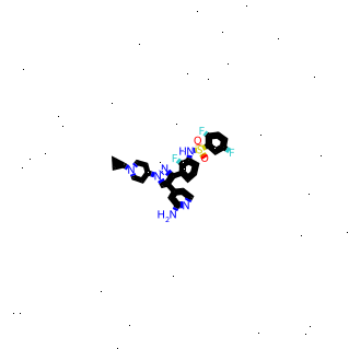 Nc1cc(-c2cn(C3CCN(C4CC4)CC3)nc2-c2cccc(NS(=O)(=O)c3cc(F)ccc3F)c2F)ccn1